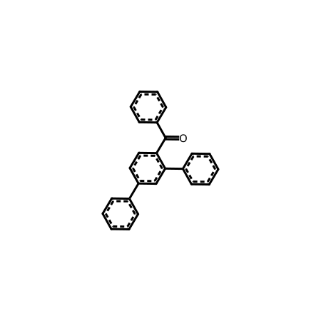 O=C(c1ccccc1)c1ccc(-c2ccccc2)cc1-c1ccccc1